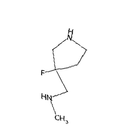 CNCC1(F)CCNC1